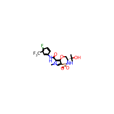 Cn1cc2c(c1C(=O)Nc1ccc(F)c(C(F)(F)F)c1)OC[C@H](C(C)(C)O)NS2(=O)=O